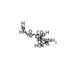 Nc1nc(/C(=N/O)C(=O)N[C@@H]2C(=O)N3C(C(=O)O)=C(/C=C4\CCN(CCNC5CNC5)C4=O)CS[C@H]23)cs1